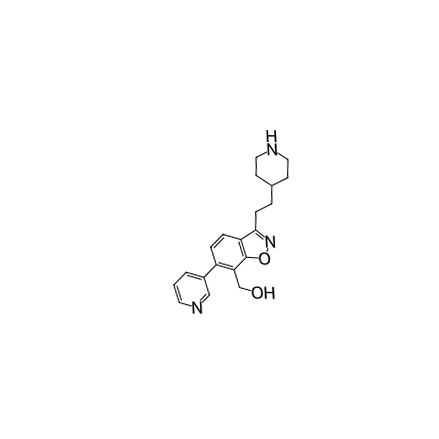 OCc1c(-c2cccnc2)ccc2c(CCC3CCNCC3)noc12